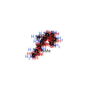 COC(=O)N[C@H]1[C@H](O[C@H]2[C@H](O)[C@@H](N)[C@H](O[C@H]3[C@H](O)[C@@H](N)[C@H](O)O[C@@H]3CO)O[C@@H]2CO)O[C@H](CO)[C@@H](O[C@@H]2O[C@H](CO)[C@@H](O[C@@H]3O[C@H](CO)[C@@H](O[C@@H]4O[C@H](CO)[C@@H](O[C@@H]5O[C@H](CO)[C@@H](O[C@@H]6O[C@H](CO)[C@@H](O[C@@H]7O[C@H](CO)[C@@H](O)[C@H](O)[C@H]7N)[C@H](O)[C@H]6N)[C@H](O)[C@H]5N)[C@H](O)[C@H]4N)[C@H](O)[C@H]3N)[C@H](O)[C@H]2N)[C@@H]1O.N[C@@H](CC(=O)O)C(=O)O